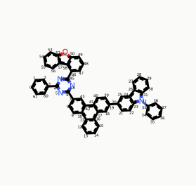 c1ccc(-c2nc(-c3ccc4c5ccccc5c5cc(-c6ccc7c(c6)c6ccccc6n7-c6ccccc6)ccc5c4c3)nc(-c3cccc4oc5ccccc5c34)n2)cc1